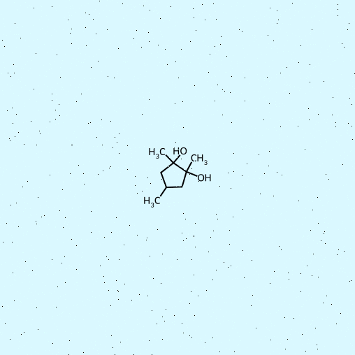 CC1CC(C)(O)C(C)(O)C1